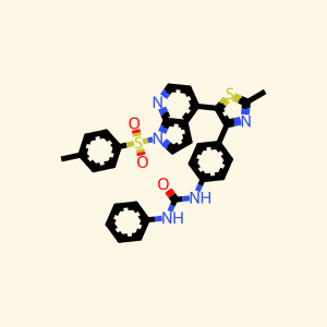 Cc1ccc(S(=O)(=O)n2ccc3c(-c4sc(C)nc4-c4ccc(NC(=O)Nc5ccccc5)cc4)ccnc32)cc1